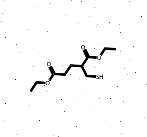 CCOC(=O)CCC(CS)C(=O)OCC